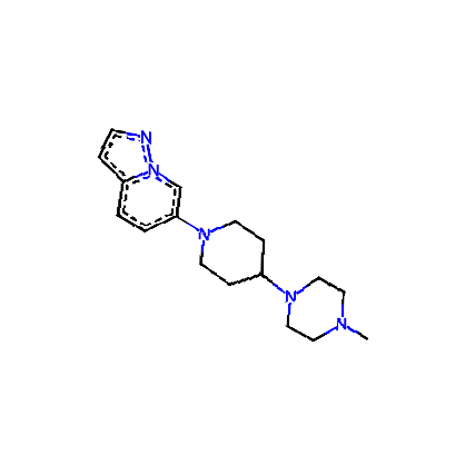 CN1CCN(C2CCN(c3ccc4ccnn4c3)CC2)CC1